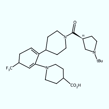 CC(C)(C)N1CC[C@H](C(=O)N2CCC(C3=CCC(C(F)(F)F)C=C3N3CCC(C(=O)O)CC3)CC2)C1